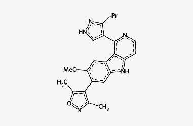 COc1cc2c(cc1-c1c(C)noc1C)[nH]c1ccnc(-c3c[nH]nc3C(C)C)c12